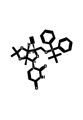 C#C[C@]1(CO[Si](c2ccccc2)(c2ccccc2)C(C)(C)C)O[C@@H](n2ccc(=O)[nH]c2=O)[C@]2(C)OC(C)(C)O[C@@H]21